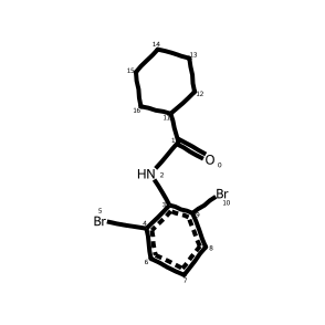 O=C(Nc1c(Br)cccc1Br)C1CCCCC1